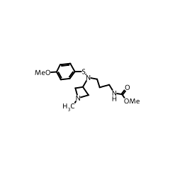 COC(=O)NCCCN(Sc1ccc(OC)cc1)C1CN(C)C1